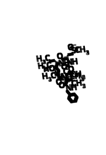 CC(C)C[C@H](NC(=O)[C@H](CC[S+](C)[O-])NC(=O)OC(C)(C)C)[C@@H](O)C[C@@H](C)C(=O)N[C@H](C(=O)NCc1ccccc1)C(C)C